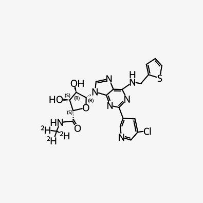 [2H]C([2H])([2H])NC(=O)[C@H]1O[C@@H](n2cnc3c(NCc4cccs4)nc(-c4cncc(Cl)c4)nc32)[C@H](O)[C@@H]1O